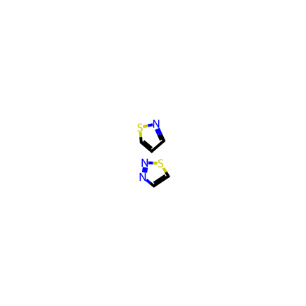 c1cnsc1.c1csnn1